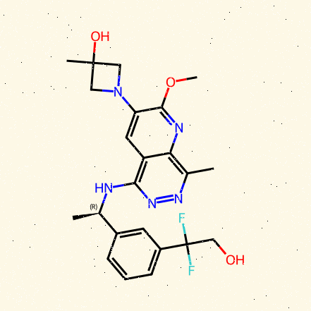 COc1nc2c(C)nnc(N[C@H](C)c3cccc(C(F)(F)CO)c3)c2cc1N1CC(C)(O)C1